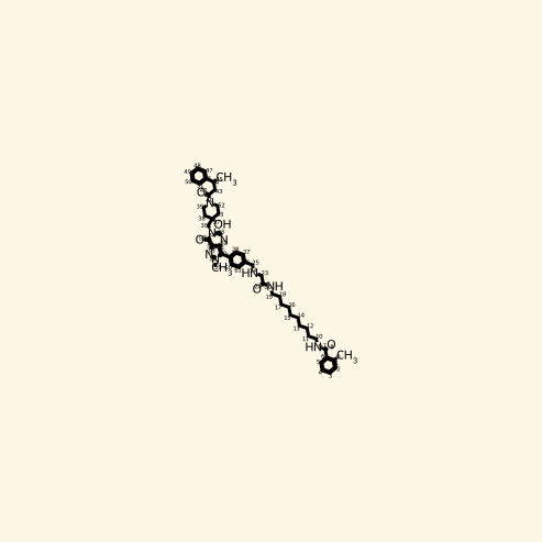 Cc1ccccc1C(=O)NCCCCCCCCCCNC(=O)CNCc1ccc(-c2c3ncn(CC4(O)CCN(C(=O)CC(C)c5ccccc5)CC4)c(=O)c3nn2C)cc1